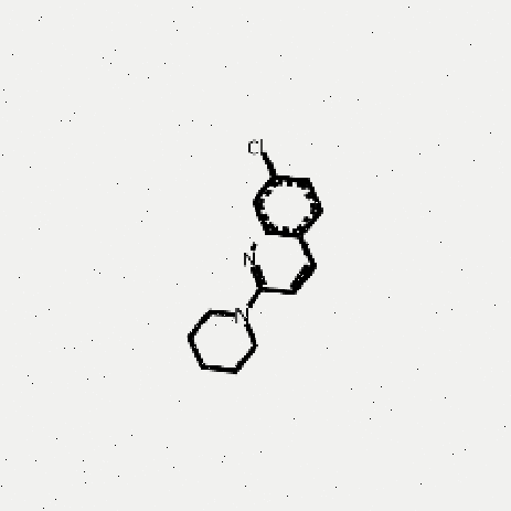 C/N=C(\C=C/c1ccc(Cl)cc1)N1CCCCC1